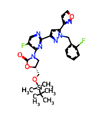 CC(C)(C)[Si](C)(C)OC[C@H]1CN(c2nc(-c3cc(-c4ccon4)n(Cc4ccccc4F)n3)ncc2F)C(=O)O1